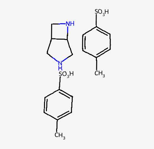 C1NCC2NCC12.Cc1ccc(S(=O)(=O)O)cc1.Cc1ccc(S(=O)(=O)O)cc1